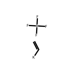 C=[CH][K].F[B-](F)(F)F